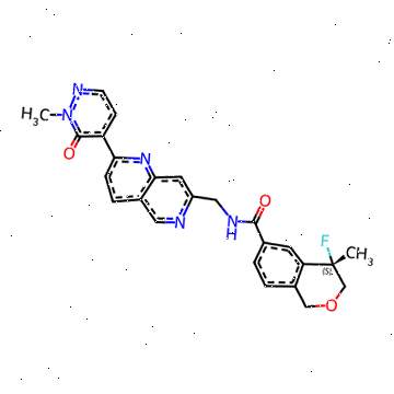 Cn1nccc(-c2ccc3cnc(CNC(=O)c4ccc5c(c4)[C@](C)(F)COC5)cc3n2)c1=O